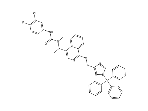 CC(c1cnc(OCc2ncn(C(c3ccccc3)(c3ccccc3)c3ccccc3)n2)c2ccccc12)N(C)C(=O)Nc1ccc(F)c(Cl)c1